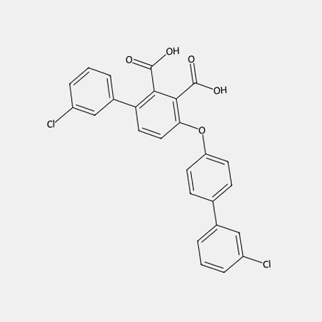 O=C(O)c1c(Oc2ccc(-c3cccc(Cl)c3)cc2)ccc(-c2cccc(Cl)c2)c1C(=O)O